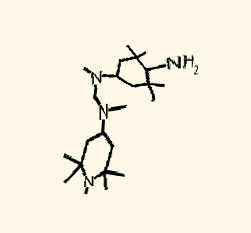 CN(CN(C)C1CC(C)(C)N(C)C(C)(C)C1)C1CC(C)(C)C(N)C(C)(C)C1